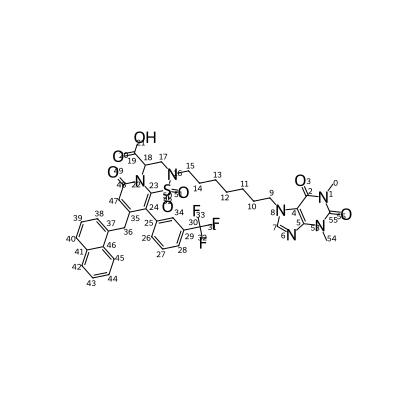 Cn1c(=O)c2c(ncn2CCCCCCCN2CC(C(=O)O)n3c(c(-c4cccc(C(F)(F)F)c4)c(Cc4cccc5ccccc45)cc3=O)S2(=O)=O)n(C)c1=O